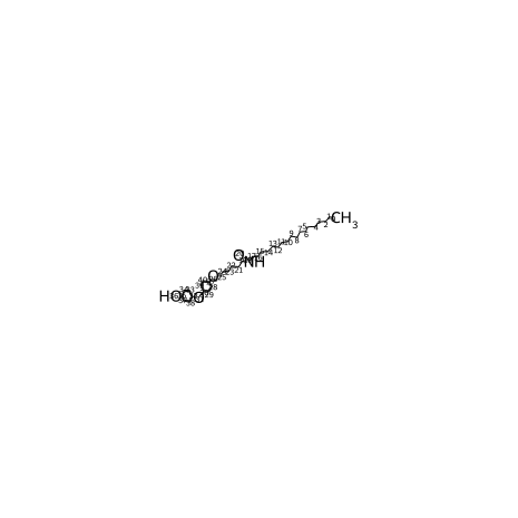 CCCCCCCCCCCCCCCCCCNC(=O)CCCCCOc1ccc(Oc2ccc(O)cc2)cc1